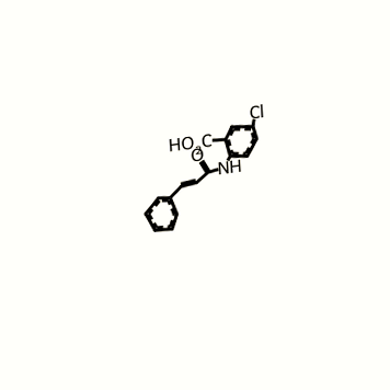 O=C(C=Cc1ccccc1)Nc1ccc(Cl)cc1C(=O)O